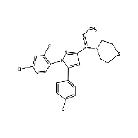 CN=C(c1cc(-c2ccc(Cl)cc2)n(-c2ccc(Cl)cc2Cl)n1)N1CCSCC1